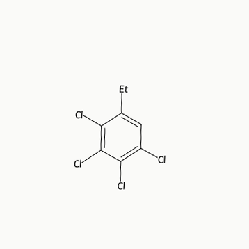 CCc1cc(Cl)c(Cl)c(Cl)c1Cl